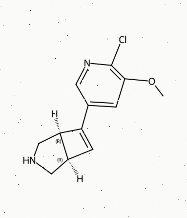 COc1cc(C2=C[C@H]3CNC[C@@H]23)cnc1Cl